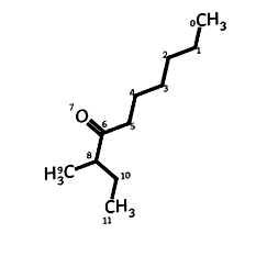 CCCCCCC(=O)C(C)CC